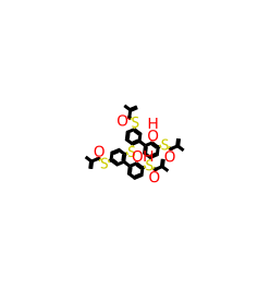 C=C(C)C(=O)Sc1ccc(Sc2ccc(SC(=O)C(=C)C)cc2-c2cccc(SC(=O)C(=C)C)c2O)c(-c2cccc(SC(=O)C(=C)C)c2O)c1